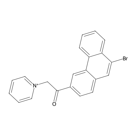 O=C(C[n+]1ccccc1)c1ccc2cc(Br)c3ccccc3c2c1